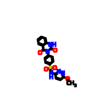 COc1ccc(NS(=O)(=O)c2ccc(-n3c(=O)[nH]c4ccccc4c3=O)cc2)nn1